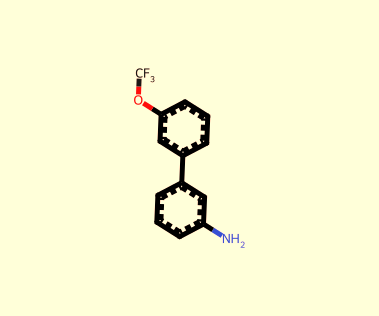 Nc1cccc(-c2cccc(OC(F)(F)F)c2)c1